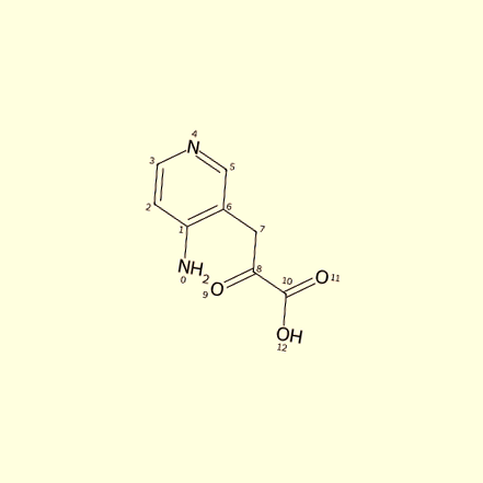 Nc1ccncc1CC(=O)C(=O)O